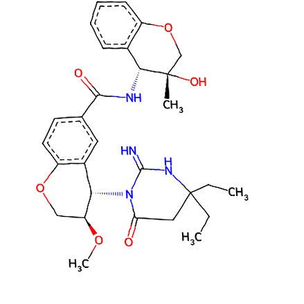 CCC1(CC)CC(=O)N([C@H]2c3cc(C(=O)N[C@@H]4c5ccccc5OC[C@]4(C)O)ccc3OC[C@@H]2OC)C(=N)N1